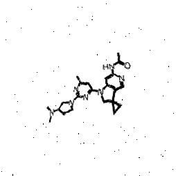 CC(=O)Nc1cc2c(cn1)C1(CC1)CN2c1cc(C)nc(N2CCC(N(C)C)C2)n1